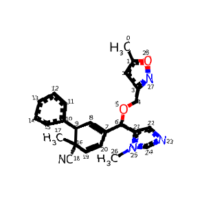 Cc1cc(COC(C2=CC(c3ccccc3)C(C)(C#N)C=C2)c2cncn2C)no1